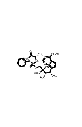 COC(=O)[C@H](C)NP(=O)(OC[C@@](C#N)(OC)[C@@H](OC(C)=O)[C@@H](OC(C)=O)c1ccc2c(NC(C)=O)ncnn12)Oc1ccccc1